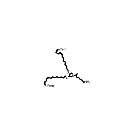 CCCCC/C=C\C/C=C\CCCCCCCCOC1CN(C(=O)CCCCCN)C[C@H]1OCCCCCCCC/C=C\C/C=C\CCCCC